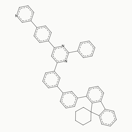 c1ccc(-c2nc(-c3ccc(-c4cccnc4)cc3)cc(-c3cccc(-c4cccc(-c5cccc6c5C5(CCCCC5)c5ccccc5-6)c4)c3)n2)cc1